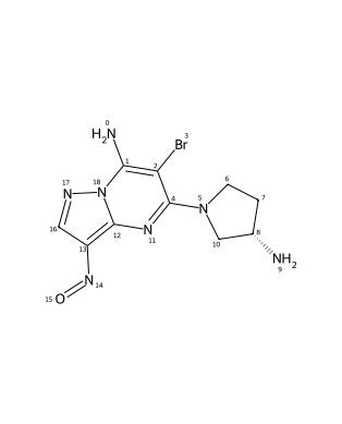 Nc1c(Br)c(N2CC[C@H](N)C2)nc2c(N=O)cnn12